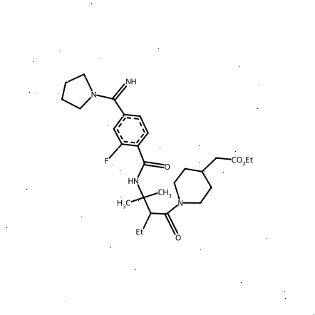 CCOC(=O)CC1CCN(C(=O)C(CC)C(C)(C)NC(=O)c2ccc(C(=N)N3CCCC3)cc2F)CC1